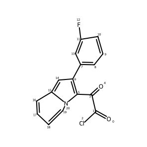 O=C(Cl)C(=O)c1c(-c2cccc(F)c2)cc2ccccn12